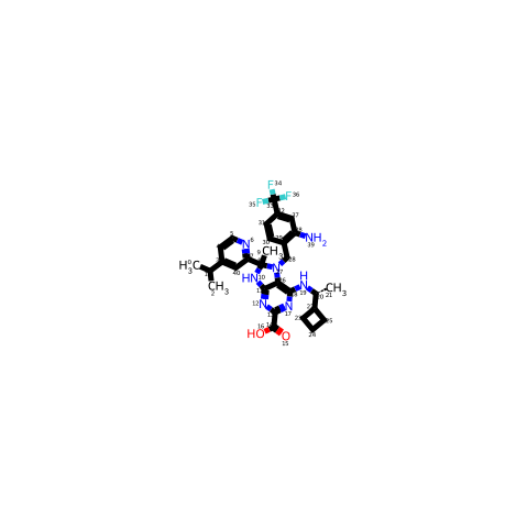 CC(C)c1ccnc(C2(C)Nc3nc(C(=O)O)nc(N[C@H](C)C4CCC4)c3N2Cc2ccc(C(F)(F)F)cc2N)c1